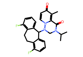 Cc1c2n(ccc1=O)N(C1c3cccc(F)c3CCc3c(F)cccc31)CN(C(C)C)C2=O